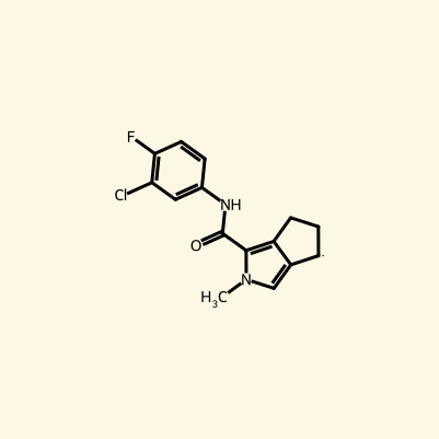 Cn1cc2c(c1C(=O)Nc1ccc(F)c(Cl)c1)CC[CH]2